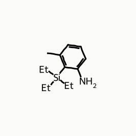 CC[Si](CC)(CC)c1c(C)cccc1N